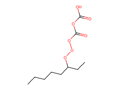 CCCCCC(CC)OOOC(=O)OC(=O)O